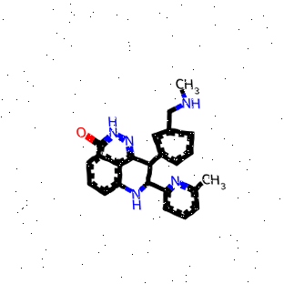 CNCc1cccc(C2c3n[nH]c(=O)c4cccc(c34)NC2c2cccc(C)n2)c1